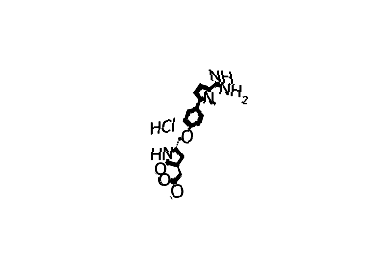 COC(=O)C[C@@H]1C[C@@H](COc2ccc(-c3ccc(C(=N)N)n3C)cc2)NC1=O.Cl